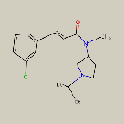 CCC(CC)N1CCC(N(C)C(=O)C=Cc2cccc(Cl)c2)C1